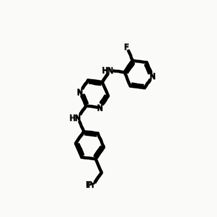 CC(C)Cc1ccc(Nc2ncc(Nc3ccncc3F)cn2)cc1